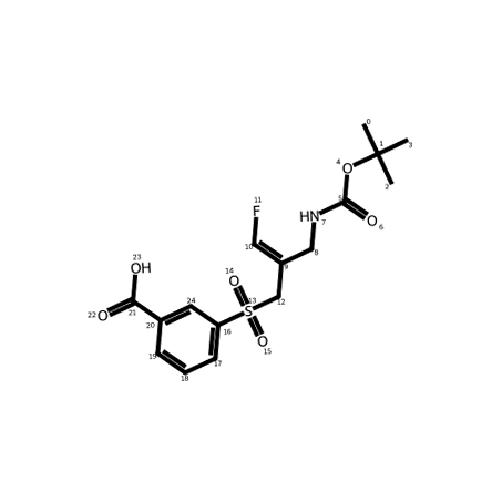 CC(C)(C)OC(=O)NCC(=CF)CS(=O)(=O)c1cccc(C(=O)O)c1